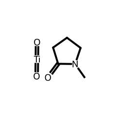 CN1CCCC1=O.[O]=[Ti]=[O]